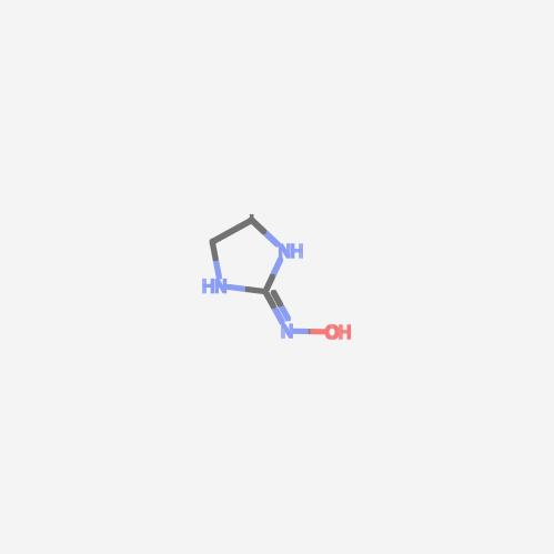 O/N=C1\N[CH]CN1